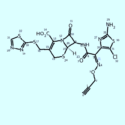 C#CCO/N=C(\C(=O)NC1C(=O)N2C(C(=O)O)=C(CSc3nncs3)CS[C@H]12)c1nc(N)sc1Cl